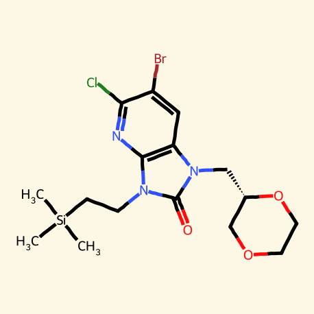 C[Si](C)(C)CCn1c(=O)n(C[C@H]2COCCO2)c2cc(Br)c(Cl)nc21